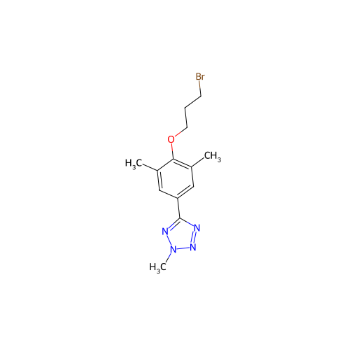 Cc1cc(-c2nnn(C)n2)cc(C)c1OCCCBr